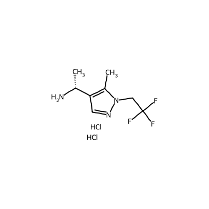 Cc1c([C@@H](C)N)cnn1CC(F)(F)F.Cl.Cl